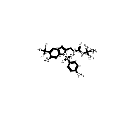 Cc1ccc(S(=O)(=O)n2c(CNC(=O)OC(C)(C)C)cc3cc(C(F)(F)F)c(O)cc32)cc1